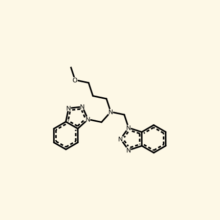 COCCCN(Cn1nnc2ccccc21)Cn1nnc2ccccc21